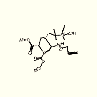 C=CCON[C@H]1CN(C(=O)OC(C)(C)C)[C@H](C(=O)OC)C[C@@H]1CC(C)(C)[Si](C)(C)O